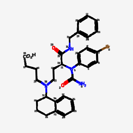 NC(=O)N(c1ccc(Br)cc1)[C@@H](CCN(CCCC(=O)O)C1CCCc2ccccc21)C(=O)NCc1ccccc1